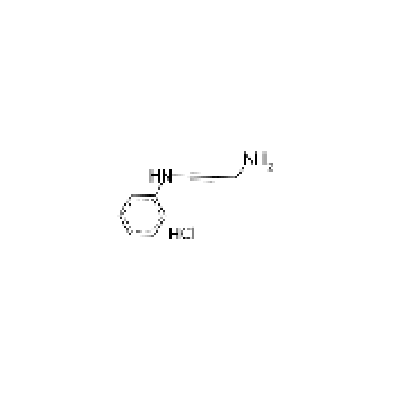 Cl.NCC#CNc1ccccc1